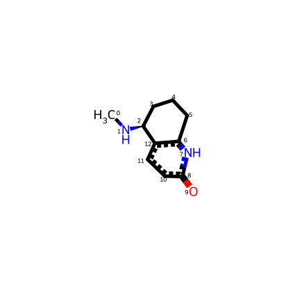 CN[C@H]1CCCc2[nH]c(=O)ccc21